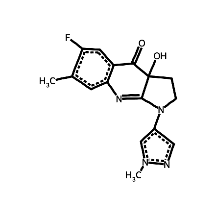 Cc1cc2c(cc1F)C(=O)C1(O)CCN(c3cnn(C)c3)C1=N2